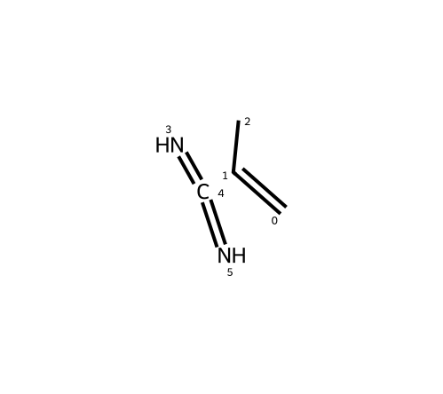 C=CC.N=C=N